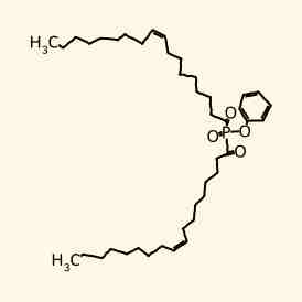 CCCCCCCC/C=C\CCCCCCCC(=O)P(=O)(Oc1ccccc1)C(=O)CCCCCCC/C=C\CCCCCCCC